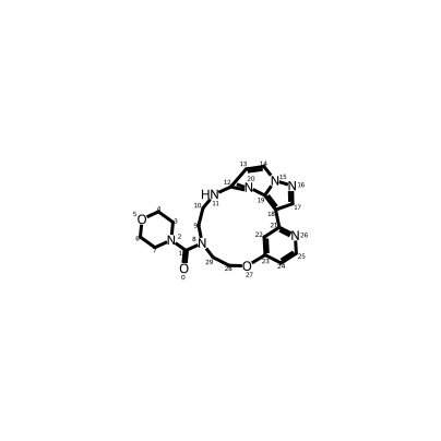 O=C(N1CCOCC1)N1CCNc2ccn3ncc(c3n2)-c2cc(ccn2)OCC1